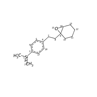 C[SiH](C)c1ccc(CCC23CCCCC2O3)cc1